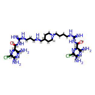 N=C(NCCCCN1CCC(CNCCCNC(=N)NC(=O)c2nc(Cl)c(N)nc2N)CC1)NC(=O)c1nc(Cl)c(N)nc1N